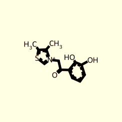 Cc1sc[n+](CC(=O)c2cccc(O)c2O)c1C